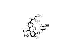 NC(c1c(O)cc(Cl)c(Cl)c1Cl)C1CCN(C(=O)C(O)CO)CC1.O=C(O)C(F)(F)F